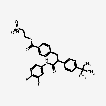 CC(C)(C)c1ccc(C(Cc2ccc(C(=O)NCC[SH](=O)=O)cc2)C(=O)Nc2ccc(F)c(F)c2)cc1